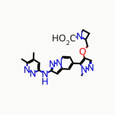 Cc1cc(Nc2cc3cc(-c4c(OCC5CCN5C(=O)O)cnn4C)ccn3n2)nnc1C